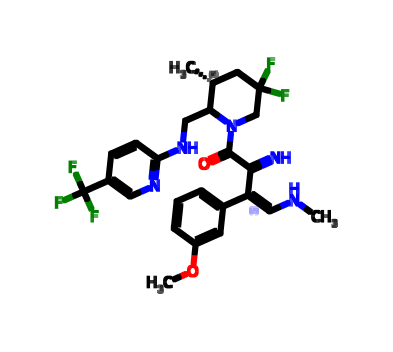 CN/C=C(\C(=N)C(=O)N1CC(F)(F)C[C@@H](C)C1CNc1ccc(C(F)(F)F)cn1)c1cccc(OC)c1